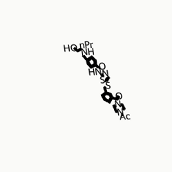 CCCC(CO)NCc1ccc(C(=O)Nc2ncc(SCc3cccc(C(=O)N4CCN(C(C)=O)CC4)c3)s2)cc1